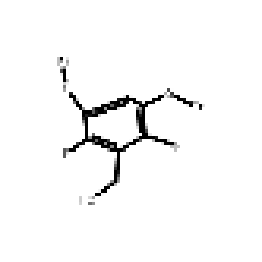 CCOc1cc(OCC)c(F)c(CO)c1F